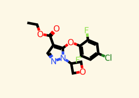 CCOC(=O)c1cnn(C2COC2)c1Oc1c(F)cc(Cl)cc1F